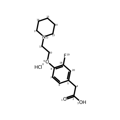 Cl.O=C(O)Cc1ccc(OCCN2CCCCC2)c(F)c1